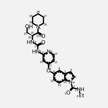 CCNC(=O)n1ccc2cc(Oc3ccnc(NC(=O)N[C@@H](CO)C(=O)N4CCCCC4)c3)ccc21